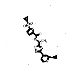 C[C@H](NC(=O)c1ccc(S(=O)(=O)C2CC2)s1)c1nc(-c2ccnc(C3CC3)c2)no1